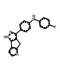 Fc1ccc(Nc2ccc(-c3n[nH]c4c3Cc3sccc3-4)cc2)cc1